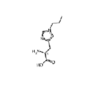 CCCn1cnc(C[C@H](N)C(=O)O)c1